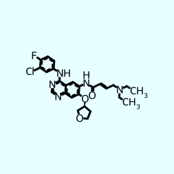 CCN(CC)CC=CC(=O)Nc1cc2c(Nc3ccc(F)c(Cl)c3)ncnc2cc1O[C@H]1CCOC1